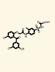 CCCCCCC(=O)NS(=O)(=O)c1ccc(NC(=O)COc2ccc(Cl)cc2C(=O)c2cc(Cl)cc(C#N)c2)c(C)c1